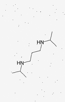 CC(C)NCCCNC(C)C